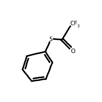 O=C(Sc1ccccc1)C(F)(F)F